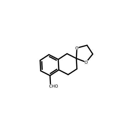 O=Cc1cccc2c1CCC1(C2)OCCO1